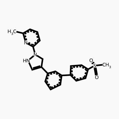 Cc1cccc(N2CC(c3cccc(-c4ccc(S(C)(=O)=O)cc4)c3)=CN2)n1